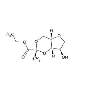 CCOC(=O)[C@]1(C)OC[C@@H]2OC[C@@H](O)[C@@H]2O1